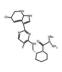 CCCCN(N)C(=O)N1CCCC[C@@H]1CNc1nc(C2=CNC3NCC(Cl)C=C23)ncc1F